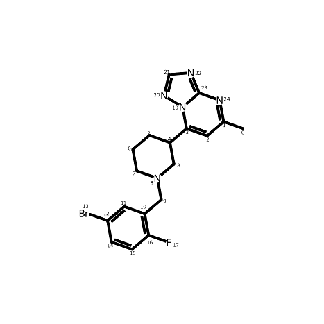 Cc1cc(C2CCCN(Cc3cc(Br)ccc3F)C2)n2ncnc2n1